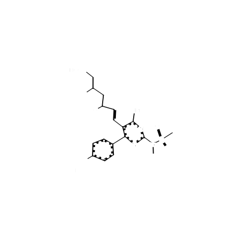 CC(C)c1nc(N(C)S(C)(=O)=O)nc(-c2ccc(F)cc2)c1/C=C/C(O)CC(O)CC(=O)O.O